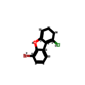 ClC1=c2c(oc3c(Br)cccc23)=CCC1